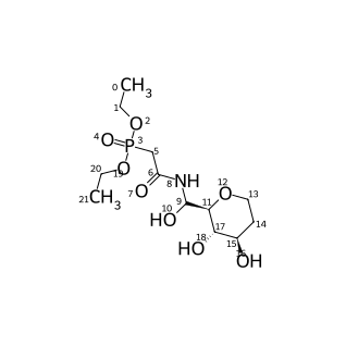 CCOP(=O)(CC(=O)NC(O)[C@H]1OCC[C@@H](O)[C@@H]1O)OCC